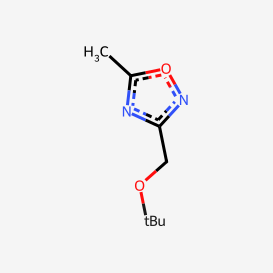 Cc1nc(COC(C)(C)C)no1